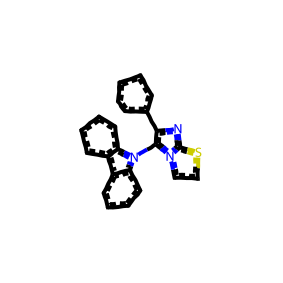 c1ccc(-c2nc3sccn3c2-n2c3ccccc3c3ccccc32)cc1